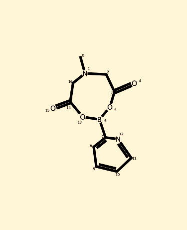 CN1CC(=O)OB(c2ccccn2)OC(=O)C1